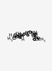 COC(=O)N[C@H](C(=O)N1CCC[C@H]1C(=O)Nc1ccc(CN(Cc2ccc(NC(=O)[C@@H]3CCCN3C(=O)[C@H](NC(=O)OC)c3ccccc3)cc2)c2ccccc2)cc1)C(C)C